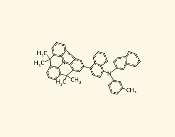 Cc1cccc(N(c2ccc3ccccc3c2)c2ccc(-c3cc4c5c(c3)c3cccc6c3n5-c3c(cccc3C4(C)C)C6(C)C)c3ccccc23)c1